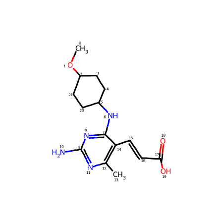 COC1CCC(Nc2nc(N)nc(C)c2C=CC(=O)O)CC1